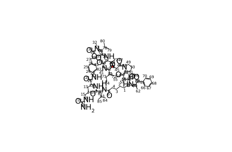 CCCCCC(=O)N[C@@H](C(=O)NC(CCCNC(N)=O)C(=O)Nc1ccc(COC(=O)N(C)[C@@H](C(=O)NC(C(=O)N(C)C(C(=O)CC(=O)N2CCC[C@H]2C(OC)[C@@H](C)C(=O)N[C@H](C)[C@@H](O)c2ccccc2)[C@@H](C)CC)C(C)C)C(C)C)cc1)C(C)C